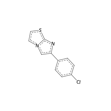 Clc1ccc(-c2cn3ccsc3n2)cc1